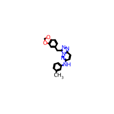 Cc1cccc(Nc2ccc3nnc(Cc4ccc5c(c4)OCO5)n3n2)c1